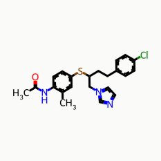 CC(=O)Nc1ccc(SC(CCc2ccc(Cl)cc2)Cn2ccnc2)cc1C